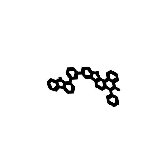 CC1c2ccccc2-c2c(ccc3c2sc2ccc(-c4cccc(-c5cccc6c5sc5ccccc56)c4)cc23)C1c1ccccc1